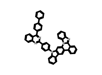 c1ccc(-c2ccc(-c3nc(-c4ccc(-n5c6ccccc6c6cc7c8ccccc8c8nc9ccccc9n8c7cc65)cc4)nc4ccccc34)cc2)cc1